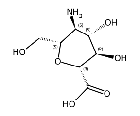 N[C@H]1[C@H](O)[C@@H](O)[C@H](C(=O)O)O[C@@H]1CO